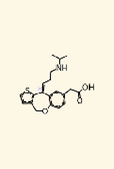 CC(C)NCC/C=C1\c2cc(CC(=O)O)ccc2OCc2ccsc21